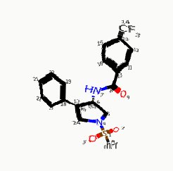 CCCS(=O)(=O)N1C[C@@H](NC(=O)c2ccc(C(F)(F)F)cc2)[C@H](c2ccccc2)C1